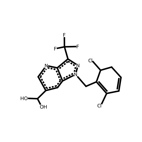 OC(O)c1cnc2c(C(F)(F)F)nn(CC3=C(Cl)C=CCC3Cl)c2c1